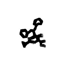 COC(=O)c1nc(C2CC2)nc(N(Cc2ccccc2)Cc2ccccc2)c1Cl